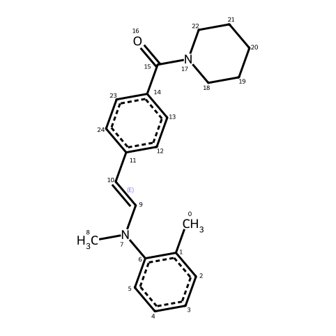 Cc1ccccc1N(C)/C=C/c1ccc(C(=O)N2CCCCC2)cc1